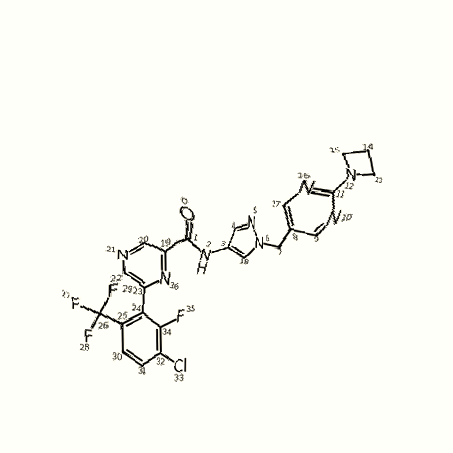 O=C(Nc1cnn(Cc2cnc(N3CCC3)nc2)c1)c1cncc(-c2c(C(F)(F)F)ccc(Cl)c2F)n1